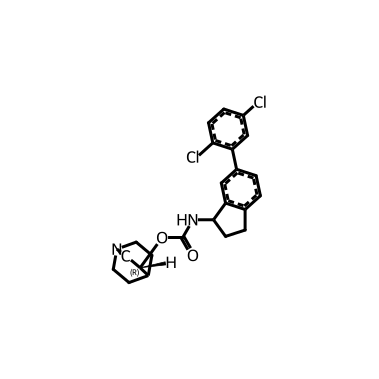 O=C(NC1CCc2ccc(-c3cc(Cl)ccc3Cl)cc21)O[C@H]1CN2CCC1CC2